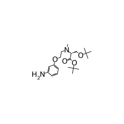 CN(CCOc1cccc(N)c1)[C@@H](COC(C)(C)C)C(=O)OC(C)(C)C